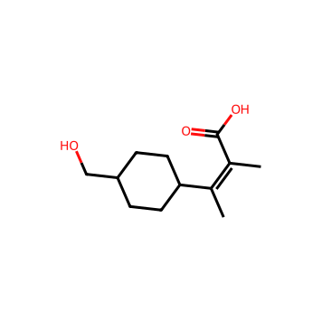 CC(C(=O)O)=C(C)C1CCC(CO)CC1